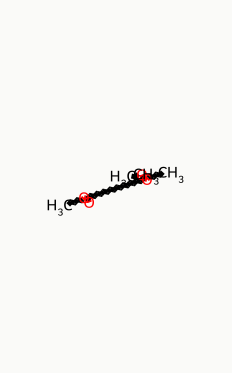 CCCCCOC(=O)CCCCCCCCCCCCCCC(CC(=O)OCCCCC)C(C)C